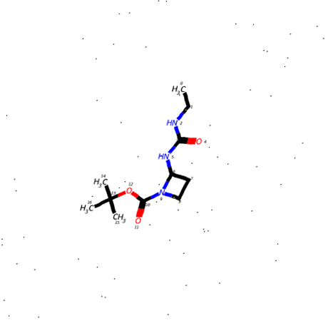 CCNC(=O)NC1CCN1C(=O)OC(C)(C)C